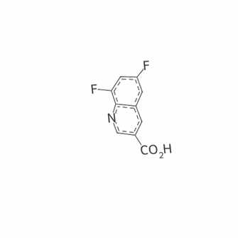 O=C(O)c1cnc2c(F)cc(F)cc2c1